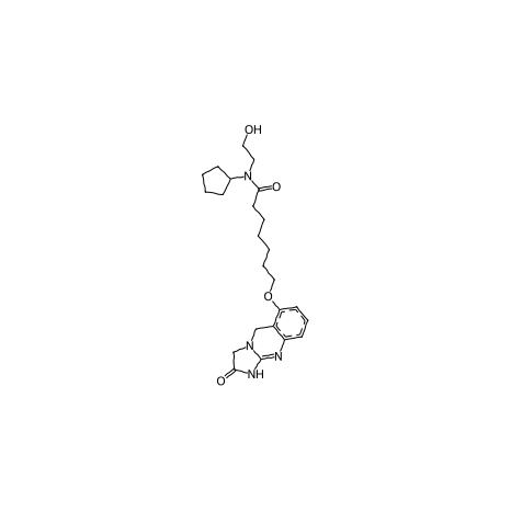 O=C1CN2Cc3c(cccc3OCCCCCCC(=O)N(CCO)C3CCCC3)N=C2N1